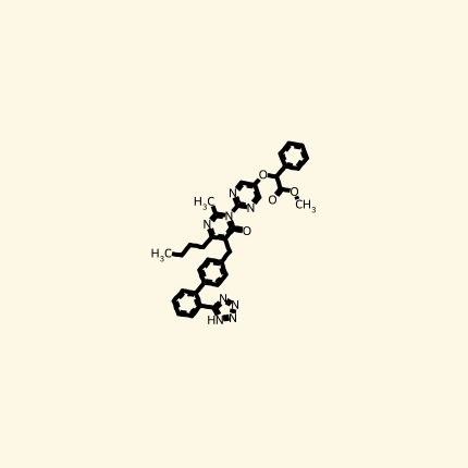 CCCCc1nc(C)n(-c2ncc(OC(C(=O)OC)c3ccccc3)cn2)c(=O)c1Cc1ccc(-c2ccccc2-c2nnn[nH]2)cc1